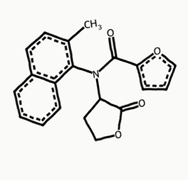 Cc1ccc2ccccc2c1N(C(=O)c1ccco1)C1CCOC1=O